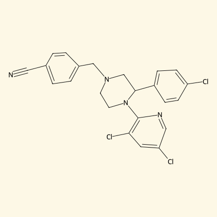 N#Cc1ccc(CN2CCN(c3ncc(Cl)cc3Cl)C(c3ccc(Cl)cc3)C2)cc1